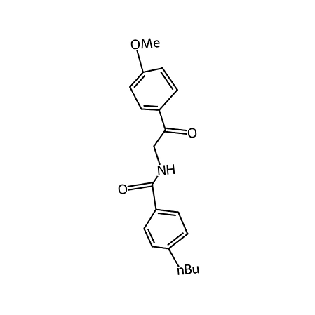 CCCCc1ccc(C(=O)NCC(=O)c2ccc(OC)cc2)cc1